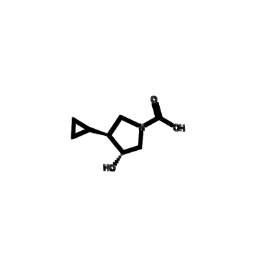 O=C(O)N1C[C@H](C2CC2)[C@@H](O)C1